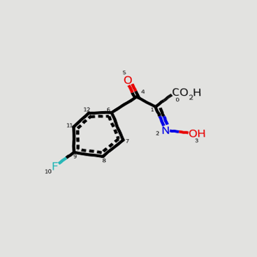 O=C(O)C(=NO)C(=O)c1ccc(F)cc1